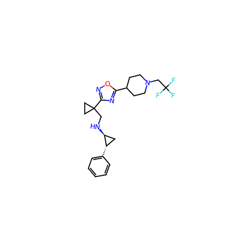 FC(F)(F)CN1CCC(c2nc(C3(CN[C@H]4C[C@@H]4c4ccccc4)CC3)no2)CC1